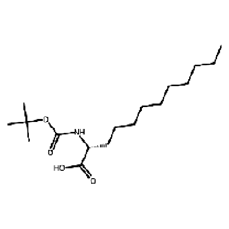 CCCCCCCCCC[C@@H](NC(=O)OC(C)(C)C)C(=O)O